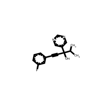 CC(C)C(O)(C#Cc1cccc(F)c1)c1cncnc1